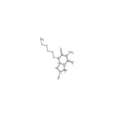 CCCCCCn1c(=O)n(C)c(=O)c2[nH]c(Cl)nc21